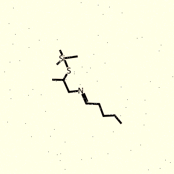 CCCC/C=N/CC(C)S[Si](C)(C)C